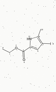 CCOC(=O)c1cc(I)c(C)[nH]1